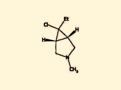 CCC1(Cl)[C@@H]2CN(C)C[C@@H]21